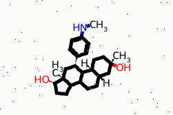 CNc1ccc([C@H]2C[C@@]3(C)C(CC[C@@H]3O)C3CC[C@H]4C[C@](C)(O)CC[C@@H]4C32)cc1